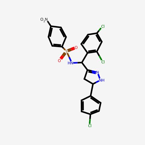 O=[N+]([O-])c1ccc(S(=O)(=O)NC(C2=NNC(c3ccc(Cl)cc3)C2)c2ccc(Cl)cc2Cl)cc1